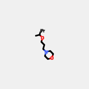 CC(C)C(C)OCCCN1CCOCC1